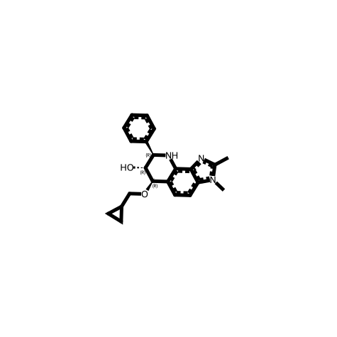 Cc1nc2c3c(ccc2n1C)[C@@H](OCC1CC1)[C@H](O)[C@@H](c1ccccc1)N3